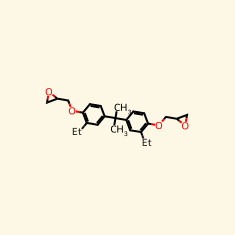 CCc1cc(C(C)(C)c2ccc(OCC3CO3)c(CC)c2)ccc1OCC1CO1